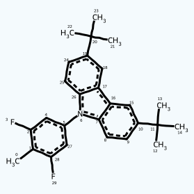 Cc1c(F)cc(-n2c3ccc(C(C)(C)C)cc3c3cc(C(C)(C)C)ccc32)cc1F